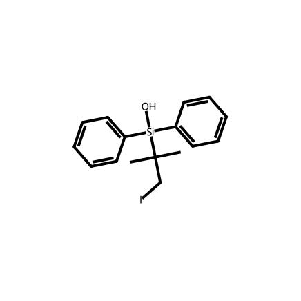 CC(C)(CI)[Si](O)(c1ccccc1)c1ccccc1